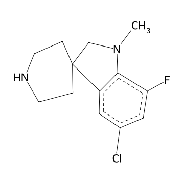 CN1CC2(CCNCC2)c2cc(Cl)cc(F)c21